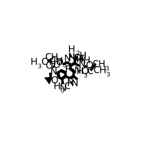 [2H]C([2H])([2H])N(C(=O)OC(C)(C)C)c1nc(-c2cnn(C)c2-c2c(F)cc3c(c2C#N)OC2(CC2)CN3C(=O)OC(C)(C)C)cc2c(CO)n[nH]c(=O)c12